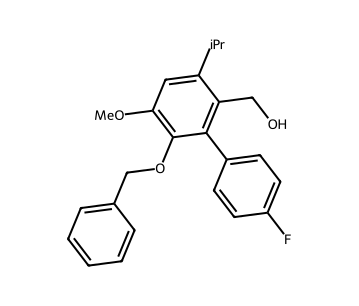 COc1cc(C(C)C)c(CO)c(-c2ccc(F)cc2)c1OCc1ccccc1